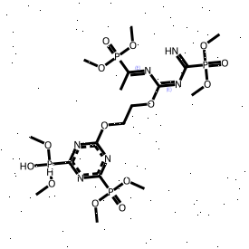 COP(=O)(OC)C(=N)/N=C(\N=C(/C)P(=O)(OC)OC)OCCOc1nc(P(=O)(OC)OC)nc([PH](O)(OC)OC)n1